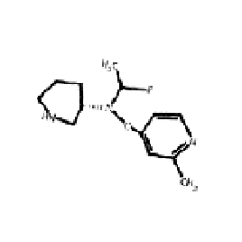 Cc1cc(CN(C(C)F)[C@H]2CCCNC2)ccn1